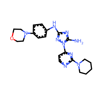 Nc1nc(Nc2ccc(N3CCOCC3)cc2)nn1-c1ccnc(N2CCCCC2)n1